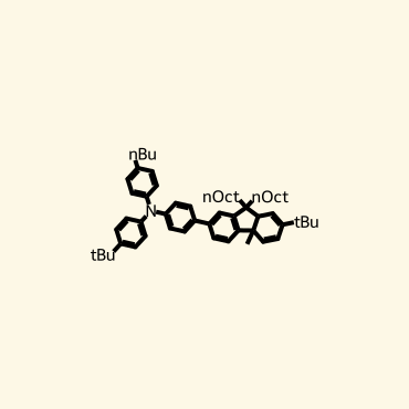 CCCCCCCCC1(CCCCCCCC)c2cc(-c3ccc(N(c4ccc(CCCC)cc4)c4ccc(C(C)(C)C)cc4)cc3)ccc2C2(C)C=CC(C(C)(C)C)=CC21